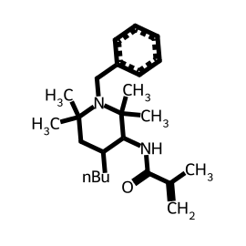 C=C(C)C(=O)NC1C(CCCC)CC(C)(C)N(Cc2ccccc2)C1(C)C